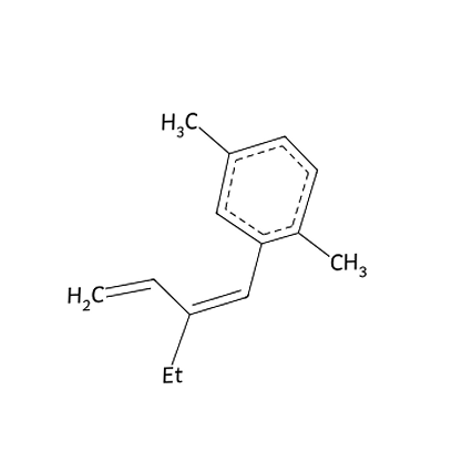 C=C/C(=C\c1cc(C)ccc1C)CC